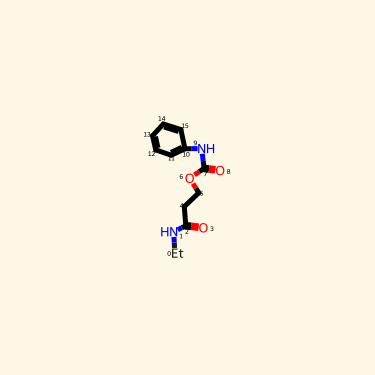 CCNC(=O)CCOC(=O)Nc1ccccc1